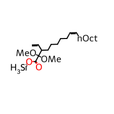 C=CC(CCCCC/C=C\CCCCCCCC)C(OC)(OC)C(=O)O[SiH3]